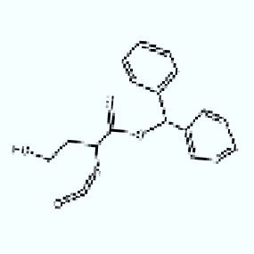 O=C=NC(CCO)C(=O)OC(c1ccccc1)c1ccccc1